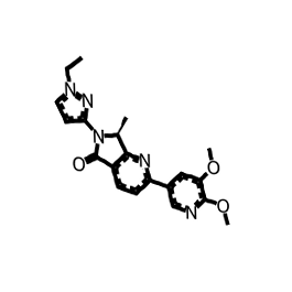 CCn1ccc(N2C(=O)c3ccc(-c4cnc(OC)c(OC)c4)nc3[C@@H]2C)n1